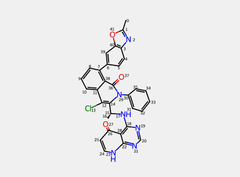 Cc1nc2ccc(-c3cccc4c(Cl)c([C@H](C)Nc5ncnc6[nH]ccc(=O)c56)n(-c5ccccc5)c(=O)c34)cc2o1